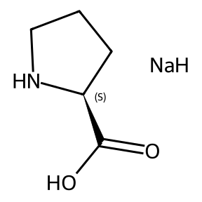 O=C(O)[C@@H]1CCCN1.[NaH]